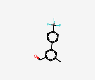 Cc1cc(C=O)cc(-c2ccc(C(F)(F)F)cc2)c1